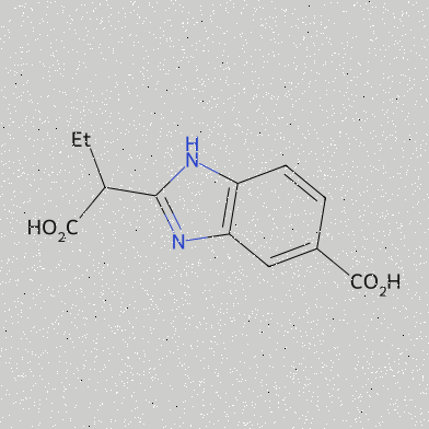 CCC(C(=O)O)c1nc2cc(C(=O)O)ccc2[nH]1